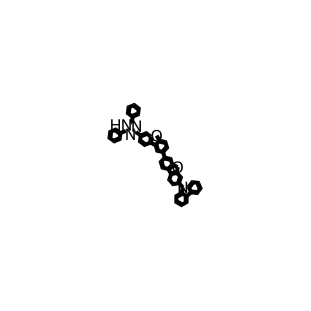 C1=C(n2c3ccccc3c3ccccc32)CCc2c1oc1cc(-c3ccc4oc5cc(C6=NC(c7ccccc7)NC(c7ccccc7)=N6)ccc5c4c3)ccc21